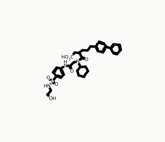 O=C(O)CC(CCCc1ccc(-c2ccccc2)cc1)C(=O)N(CC(=O)Nc1ccc(S(=O)(=O)NCCO)cc1)C1CCCCC1